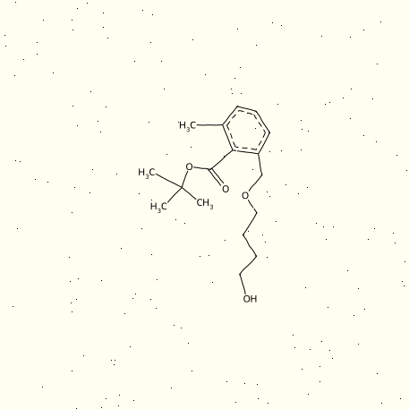 Cc1cccc(COCCCCO)c1C(=O)OC(C)(C)C